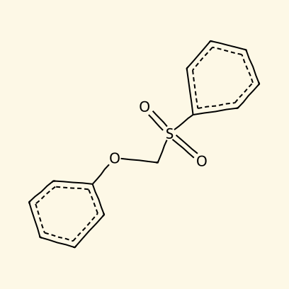 O=S(=O)(COc1ccccc1)c1ccccc1